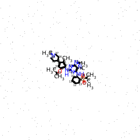 Cc1cc(Nc2nc(Nc3ccccc3S(=O)(=O)C(C)C)c3c(ncn3C)n2)c(OC(C)C)cc1C1CCN(C)CC1